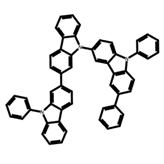 c1ccc(-c2ccc3c(c2)c2cc(-n4c5ccccc5c5ccc(-c6ccc7c8ccccc8n(-c8ccccc8)c7c6)cc54)ccc2n3-c2ccccc2)cc1